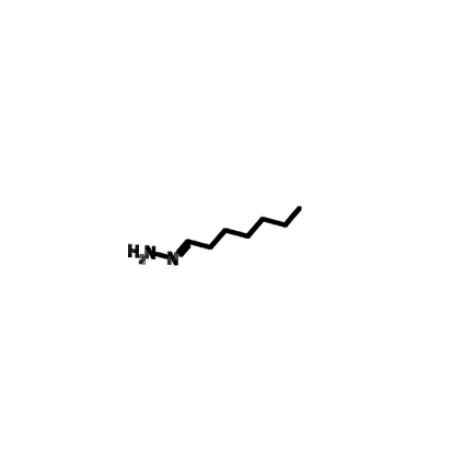 CCCCCCC=NN